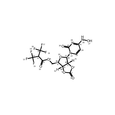 O=C1O[C@@H]2[C@H](O1)[C@@H](COC(=O)C(C(F)(F)F)C(F)(F)F)O[C@H]2n1ccc(NO)nc1=O